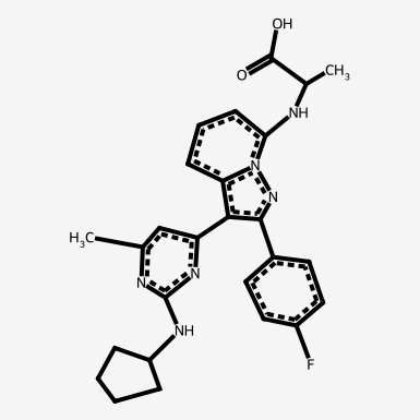 Cc1cc(-c2c(-c3ccc(F)cc3)nn3c(NC(C)C(=O)O)cccc23)nc(NC2CCCC2)n1